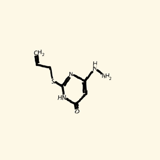 C=CCSc1nc(NN)cc(=O)[nH]1